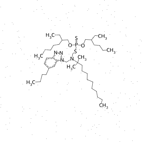 CCCCCCCCCCC(C)(C)N(CSP(=S)(OCC(CC)CCCC)OCC(CC)CCCCC)Cn1nnc2ccc(CCCC)cc21